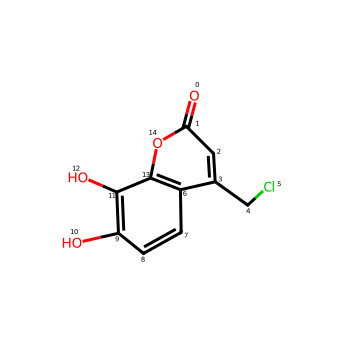 O=c1cc(CCl)c2ccc(O)c(O)c2o1